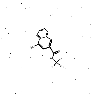 Cc1cc(C(=O)NC(C)(C)C)cc2ccccc12